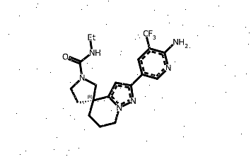 CCNC(=O)N1CC[C@]2(CCCn3nc(-c4cnc(N)c(C(F)(F)F)c4)cc32)C1